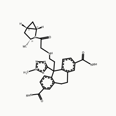 CNC(=O)c1ccc2c(c1)CCc1cc(C(=O)NC)ccc1C2(CCNCC(=O)N1[C@H](C#N)C[C@@H]2C[C@@H]21)c1nnn(C)n1